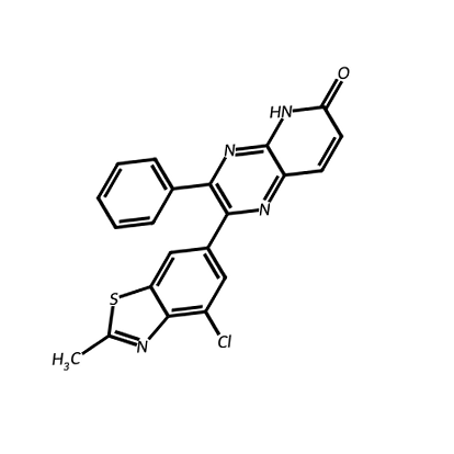 Cc1nc2c(Cl)cc(-c3nc4ccc(=O)[nH]c4nc3-c3ccccc3)cc2s1